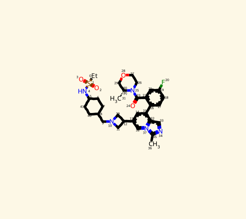 CCS(=O)(=O)NC1CCC(CN2CC(c3cc(-c4ccc(F)cc4C(=O)N4CCOC[C@H]4C)c4cnc(C)n4c3)C2)CC1